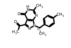 CC(=O)c1nn([C@@H](C)c2ccc(C)cc2)c2nc(C)[nH]c(=O)c12